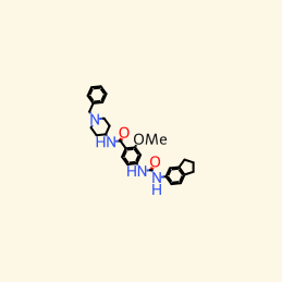 COc1cc(NC(=O)Nc2ccc3c(c2)CCC3)ccc1C(=O)NC1CCN(Cc2ccccc2)CC1